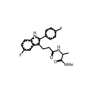 CNC(=O)C(C)NC(=O)CCc1c(-c2ccc(F)cc2)[nH]c2ccc(F)cc12